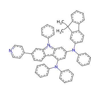 CC1(C)c2ccccc2-c2ccc(N(c3ccccc3)c3cc(N(c4ccccc4)c4ccccc4)c4c5ccc(-c6ccncc6)cc5n(-c5ccccc5)c4c3)cc21